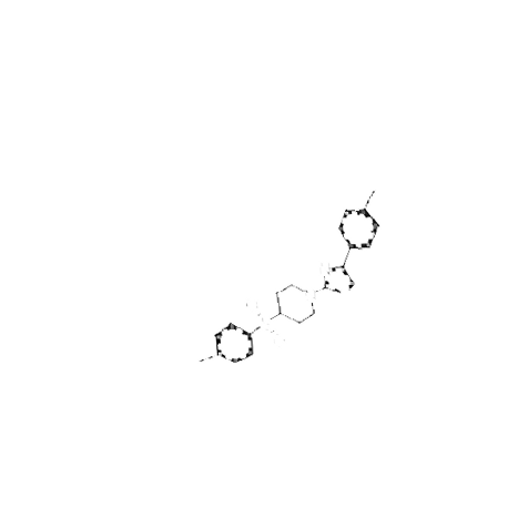 Cc1ccc(-c2csc(N3CCC(S(=O)(=O)c4ccc(C)cc4)CC3)n2)cc1